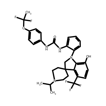 CC(C)N1CCC2(CC1)CN(c1ccccc1NC(=O)Nc1ccc(OC(C)(F)F)cc1)c1c(O)ccc(C(F)(F)F)c12